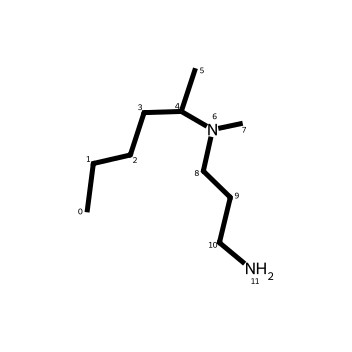 CCCCC(C)N(C)CCCN